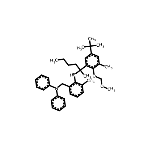 CCCCC(C)(Pc1c(C)cccc1CN(c1ccccc1)c1ccccc1)c1cc(C(C)(C)C)cc(C)c1OCOC